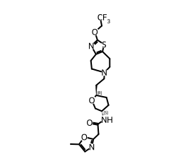 Cc1cnc(CC(=O)N[C@H]2CC[C@H](CCN3CCc4nc(OCC(F)(F)F)sc4CC3)OC2)o1